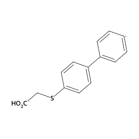 O=C(O)CSc1ccc(-c2cc[c]cc2)cc1